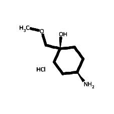 COC[C@]1(O)CC[C@@H](N)CC1.Cl